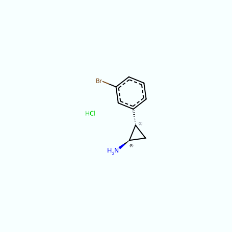 Cl.N[C@@H]1C[C@H]1c1cccc(Br)c1